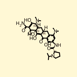 CC(C)N1CCC[C@H]1C(=O)Nc1cc(N(C)C)c2c(c1O)C(=O)C1=C(O)[C@]3(O)C(=O)C(C(N)=O)=C(O)[C@@H](N(C)C)[C@@H]3C[C@@H]1C2